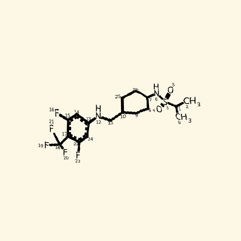 CC(C)S(=O)(=O)NC1CCC(CNc2cc(F)c(C(F)(F)F)c(F)c2)CC1